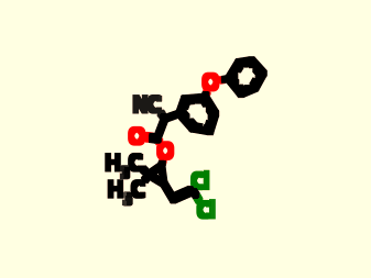 CC1(C)C(C=C(Cl)Cl)C1OC(=O)C(C#N)c1cccc(Oc2ccccc2)c1